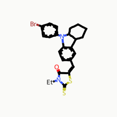 CCN1C(=O)/C(=C\c2ccc3c(c2)C2CCCCC2N3c2ccc(Br)cc2)SC1=S